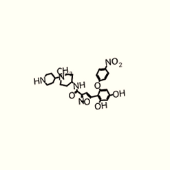 C[N+]1(C2CCNCC2)CCC(NC(=O)c2cc(-c3c(O)cc(O)cc3Oc3ccc([N+](=O)[O-])cc3)on2)CC1